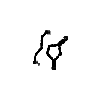 CCCCO.O=C1CCC(=O)O1